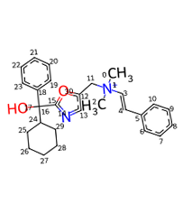 C[N+](C)(C=Cc1ccccc1)Cc1cnc(C(O)(c2ccccc2)C2CCCCC2)o1